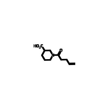 C=CCCC(=O)N1CCCC(C(=O)O)C1